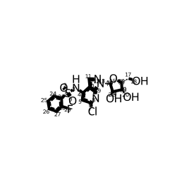 O=S(=O)(Nc1cc(Cl)nc2c1cnn2[C@@H]1O[C@H](CO)[C@@H](O)[C@H]1O)c1ccccc1F